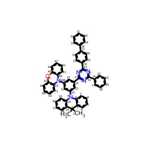 CC1(C)c2ccccc2N(c2cc(-c3nc(-c4ccccc4)nc(-c4ccc(-c5ccccc5)cc4)n3)cc(N3c4ccccc4Oc4ccccc43)c2)c2ccccc21